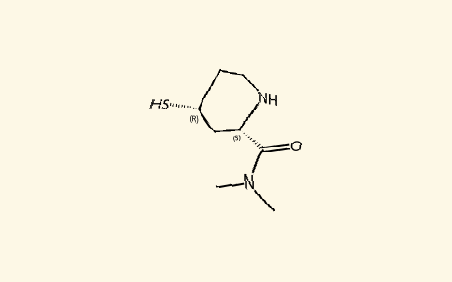 CN(C)C(=O)[C@@H]1C[C@H](S)CCN1